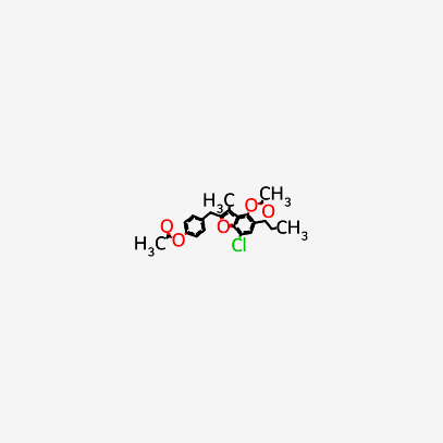 CCCc1cc(Cl)c2oc(Cc3ccc(OC(C)=O)cc3)c(C)c2c1OC(C)=O